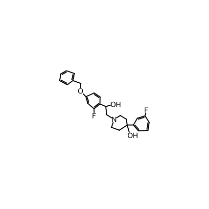 OC(CN1CCC(O)(c2cccc(F)c2)CC1)c1ccc(OCc2ccccc2)cc1F